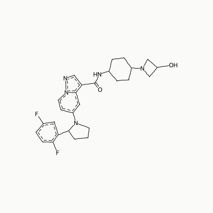 O=C(NC1CCC(N2CC(O)C2)CC1)c1cnn2ccc(N3CCCC3c3cc(F)ccc3F)cc12